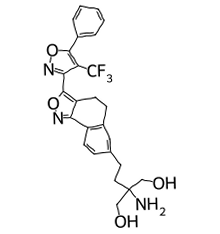 NC(CO)(CO)CCc1ccc2c(c1)CCc1c-2noc1-c1noc(-c2ccccc2)c1C(F)(F)F